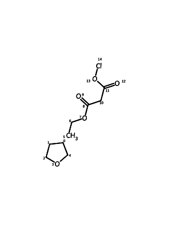 C1CCOC1.CCOC(=O)CC(=O)OCl